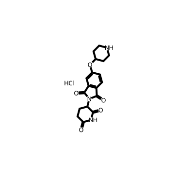 Cl.O=C1CCC(N2C(=O)c3ccc(OC4CCNCC4)cc3C2=O)C(=O)N1